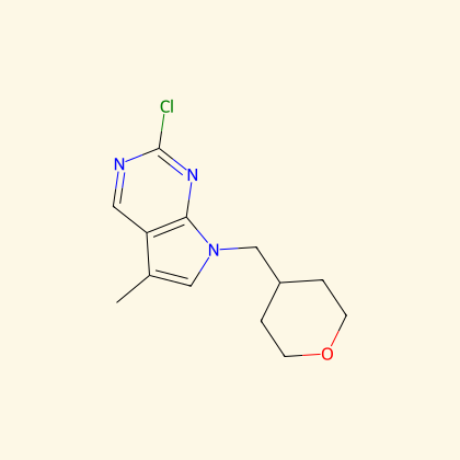 Cc1cn(CC2CCOCC2)c2nc(Cl)ncc12